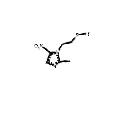 CCSCCn1c([N+](=O)[O-])cnc1C